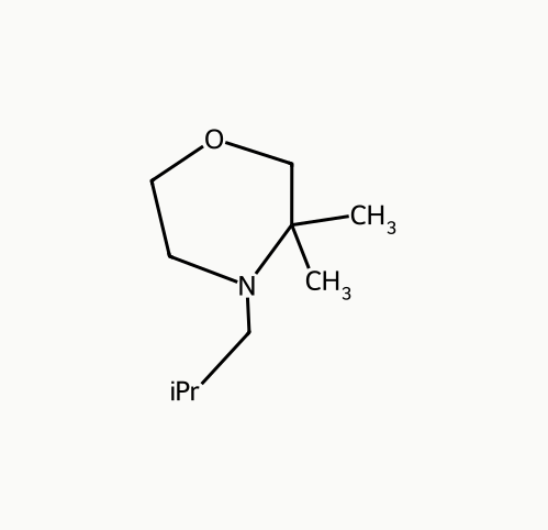 CC(C)CN1CCOCC1(C)C